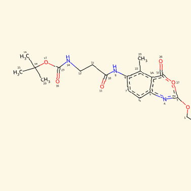 CCOc1nc2ccc(NC(=O)CCNC(=O)OC(C)(C)C)c(C)c2c(=O)o1